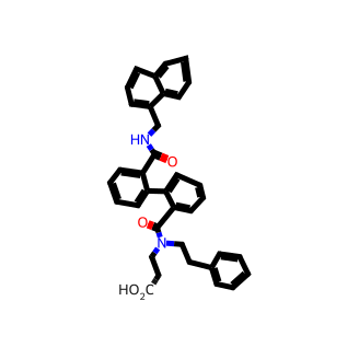 O=C(O)CCN(CCc1ccccc1)C(=O)c1ccccc1-c1ccccc1C(=O)NCc1cccc2ccccc12